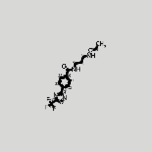 CCONCCCNC(=O)c1ccc(-c2noc(C(F)(F)F)n2)cc1